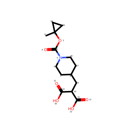 CC1(OC(=O)N2CCC(CC(C(=O)O)C(=O)O)CC2)CC1